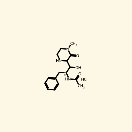 CC(=O)N[C@@H](Cc1ccccc1)C(O)C1NCCN(C)C1=O.Cl